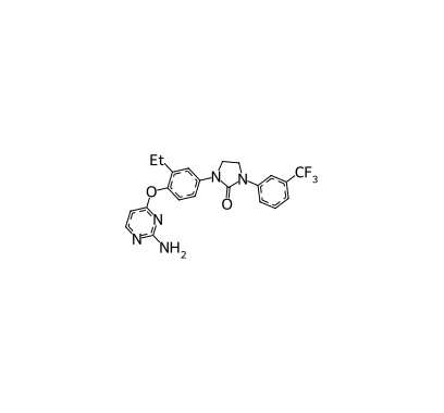 CCc1cc(N2CCN(c3cccc(C(F)(F)F)c3)C2=O)ccc1Oc1ccnc(N)n1